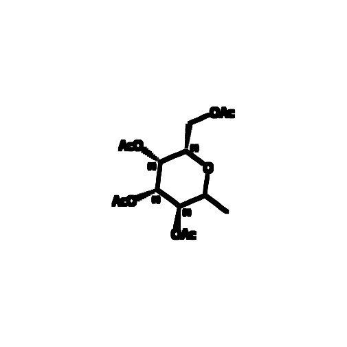 CC(=O)OC[C@@H]1OC(C)[C@@H](OC(C)=O)[C@H](OC(C)=O)[C@@H]1OC(C)=O